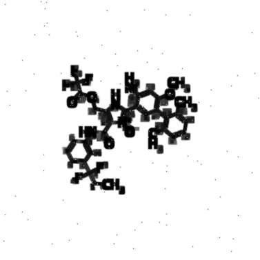 CCC(F)(F)c1cccc(NC(=O)c2c(COC(=O)C(F)(F)F)[nH]c(-c3cc(-c4c(C)cccc4C)c(OC)cc3N)[n+]2[O-])c1